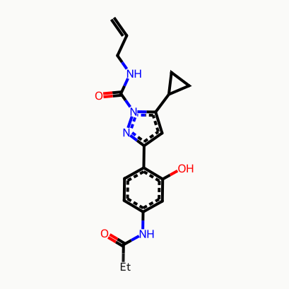 C=CCNC(=O)n1nc(-c2ccc(NC(=O)CC)cc2O)cc1C1CC1